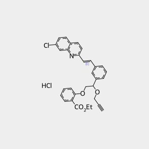 C#CCOC(COc1ccccc1C(=O)OCC)c1cccc(/C=C/c2ccc3ccc(Cl)cc3n2)c1.Cl